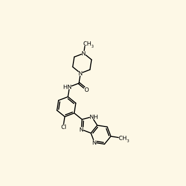 Cc1cnc2nc(-c3cc(NC(=O)N4CCN(C)CC4)ccc3Cl)[nH]c2c1